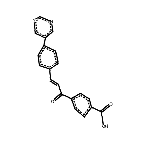 O=C(O)c1ccc(C(=O)C=Cc2ccc(-c3cncnc3)cc2)cc1